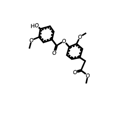 COC(=O)Cc1ccc(OC(=O)c2ccc(O)c(OC)c2)c(OC)c1